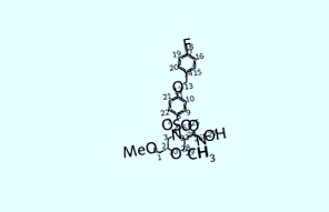 COC[C@H]1CN(S(=O)(=O)c2ccc(OCc3ccc(F)cc3)cc2)[C@@H](C(=O)NO)[C@H](C)O1